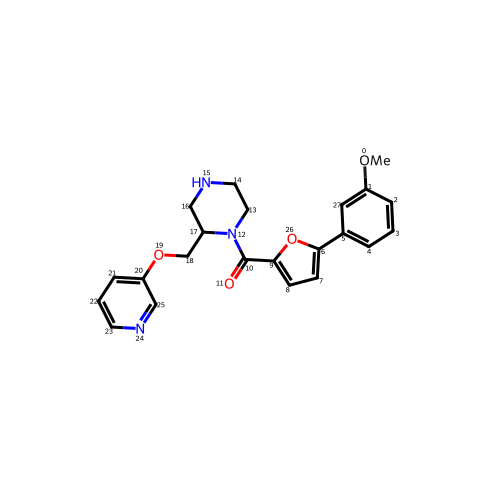 COc1cccc(-c2ccc(C(=O)N3CCNCC3COc3cccnc3)o2)c1